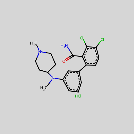 CN1CCC(N(C)c2cccc(-c3ccc(Cl)c(Cl)c3C(N)=O)c2)CC1.Cl